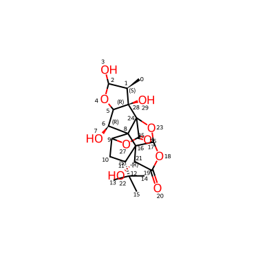 C[C@@H]1C(O)OC2[C@H](O)C34C5C[C@@H](C(C)(C)C)C36C(OC(=O)[C@@H]6O)OC4(C(=O)O5)[C@]21O